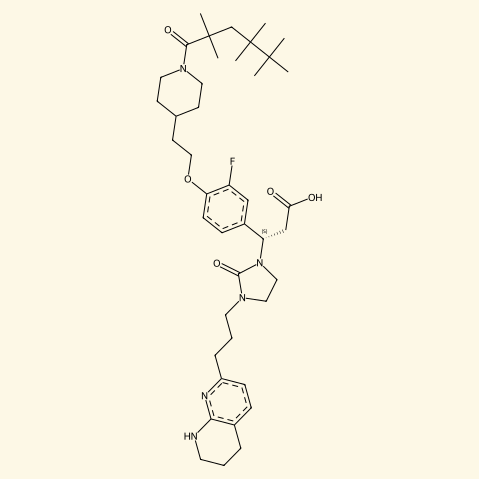 CC(C)(CC(C)(C)C(C)(C)C)C(=O)N1CCC(CCOc2ccc([C@H](CC(=O)O)N3CCN(CCCc4ccc5c(n4)NCCC5)C3=O)cc2F)CC1